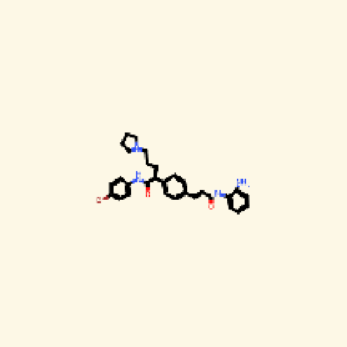 Nc1ccccc1NC(=O)/C=C/c1ccc(C(CCCN2CCCC2)C(=O)Nc2ccc(Br)cc2)cc1